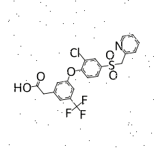 O=C(O)Cc1cc(Oc2ccc(S(=O)(=O)Cc3ccccn3)cc2Cl)cc(C(F)(F)F)c1